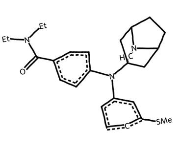 CCN(CC)C(=O)c1ccc(N(c2cccc(SC)c2)C2CC3CCC(C2)N3C)cc1